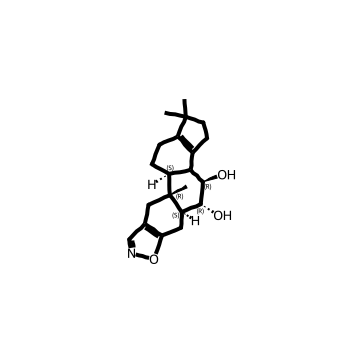 CC1(C)CCC2=C1CC[C@H]1C2[C@@H](O)[C@H](O)[C@H]2Cc3oncc3C[C@@]21C